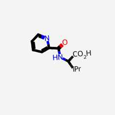 CC(C)C(NC(=O)c1ccccn1)C(=O)O